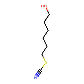 N#CSCCCCCCO